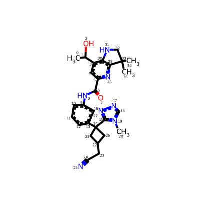 CC(O)c1cc(C(=O)Nc2cccc(C3(c4nncn4C)CC(CC#N)C3)c2)nc2c1NCC2(C)C